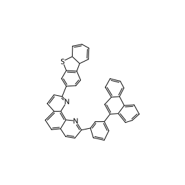 C1=CC2Sc3cc(-c4ccc5ccc6ccc(-c7cccc(-c8cc9ccccc9c9ccccc89)c7)nc6c5n4)ccc3C2C=C1